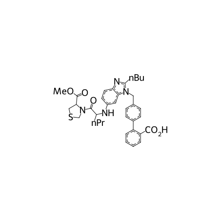 CCCCc1nc2ccc(NC(CCC)C(=O)N3CSCC3C(=O)OC)cc2n1Cc1ccc(-c2ccccc2C(=O)O)cc1